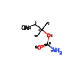 CC(C)(CN=O)OC(N)=O